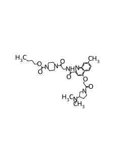 CCCCOC(=O)N1CCN(C(=O)CNC(=O)c2cc(OCC(=O)N3CCC(N(C)C)C3)c3ccc(C)cc3n2)CC1